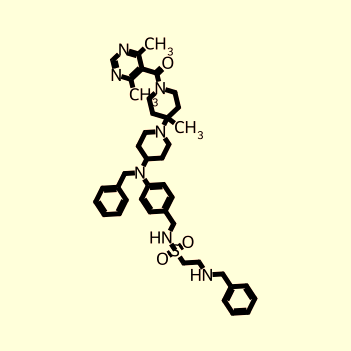 Cc1ncnc(C)c1C(=O)N1CCC(C)(N2CCC(N(Cc3ccccc3)c3ccc(CNS(=O)(=O)CCNCc4ccccc4)cc3)CC2)CC1